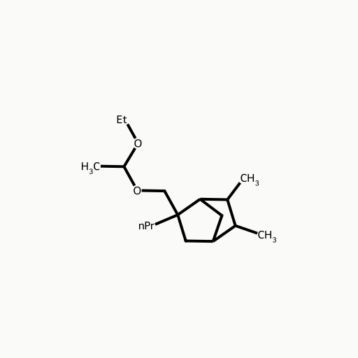 CCCC1(COC(C)OCC)CC2CC1C(C)C2C